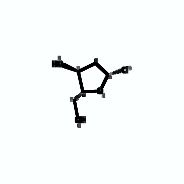 OC[C@H]1O[C@@H](Cl)C[C@@H]1O